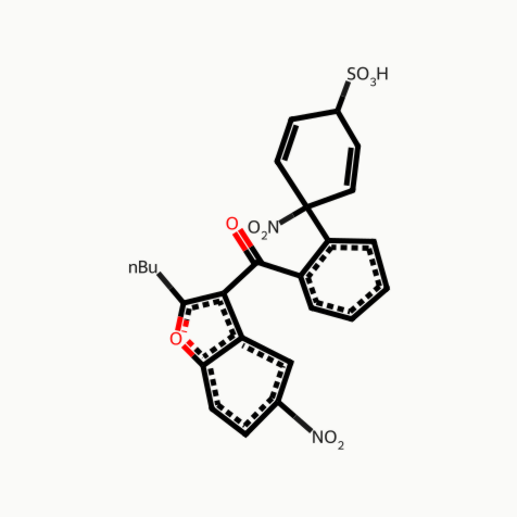 CCCCc1oc2ccc([N+](=O)[O-])cc2c1C(=O)c1ccccc1C1([N+](=O)[O-])C=CC(S(=O)(=O)O)C=C1